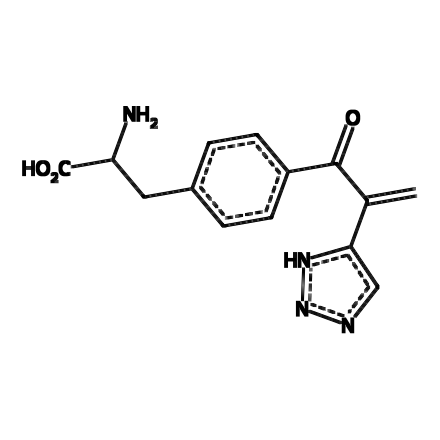 C=C(C(=O)c1ccc(CC(N)C(=O)O)cc1)c1cnn[nH]1